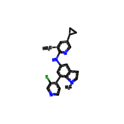 Cn1ccc2cc(Nc3ncc(C4CC4)cc3C(=O)O)cc(-c3ccncc3F)c21